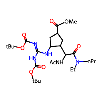 CCCN(CC)C(=O)C(NC(C)=O)C1CC(C(=O)OC)CC1NC(=NC(=O)OC(C)(C)C)NC(=O)OC(C)(C)C